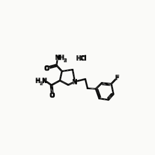 Cl.NC(=O)C1CN(CCc2cccc(F)c2)CC1C(N)=O